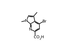 Cc1cn(C)c2nc(C(=O)O)cc(Br)c12